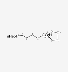 C1CCOC1.CCCCCCCCCCCC(=O)O